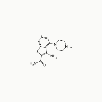 CN1CCN(c2cncc3sc(C(N)=O)c(N)c23)CC1